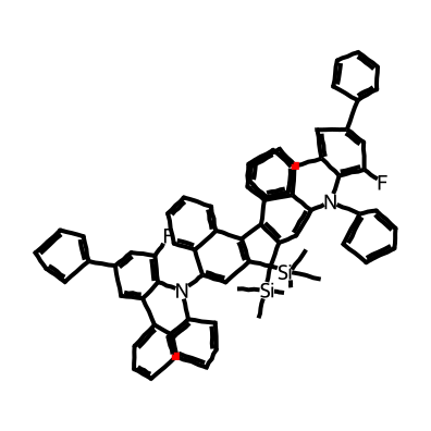 C[Si](C)(C)C1([Si](C)(C)C)c2cc(N(c3ccccc3)c3c(F)cc(-c4ccccc4)cc3-c3ccccc3)c3ccccc3c2-c2c1cc(N(c1ccccc1)c1c(F)cc(-c3ccccc3)cc1-c1ccccc1)c1ccccc21